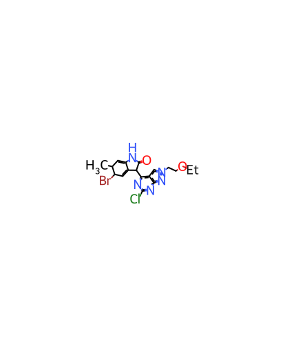 CCOCCn1cc2c(C3C(=O)NC4=CC(C)C(Br)C=C43)nc(Cl)nc2n1